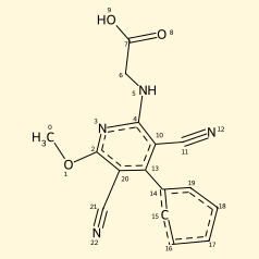 COc1nc(NCC(=O)O)c(C#N)c(-c2ccccc2)c1C#N